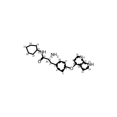 N[C@H](Cc1ccc(Oc2ccnc3[nH]ccc23)cc1)C(=O)NC1CCCCC1